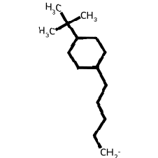 [CH2]CCCCC1CCC(C(C)(C)C)CC1